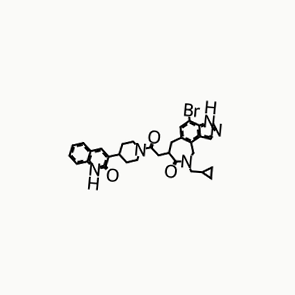 O=C(CC1Cc2cc(Br)c3[nH]ncc3c2CN(CC2CC2)C1=O)N1CCC(c2cc3ccccc3[nH]c2=O)CC1